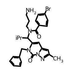 Cc1cc2cc(C(C(C)C)N(CCCN)C(=O)c3ccc(Br)cc3)n(Cc3ccccc3)c(=O)n2n1